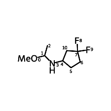 COC(C)NC1CCC(F)(F)C1